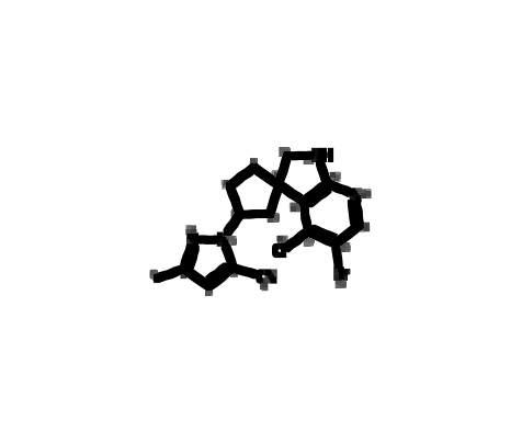 Cc1cc(C#N)n(C2CCC3(CNc4ncc(Br)c(Cl)c43)C2)n1